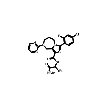 CNC(=O)C(NC(=O)c1nc(-c2ccc(Cl)cc2F)n2c1CN(c1ncccn1)CCC2)C(C)(C)C